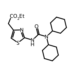 CCOC(=O)Cc1csc(NC(=O)N(C2CCCCC2)C2CCCCC2)n1